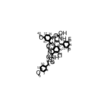 COc1ccc(CCS(=O)(=O)Nc2nn(C)c3c(-n4c([C@H](Cc5cc(F)cc(F)c5)NC(=O)O)nc5ccc(OC)cc5c4=O)ccc(Cl)c23)cc1